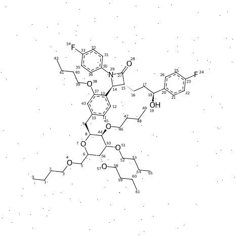 CCCCOCC1O[C@@H](Cc2ccc([C@@H]3[C@@H](CC[C@H](O)c4ccc(F)cc4)C(=O)N3c3ccc(F)cc3)c(OCCCC)c2)[C@@H](OCCCC)C(OCCCC)[C@@H]1OCCCC